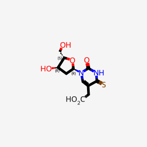 O=C(O)Cc1cn([C@H]2C[C@@H](O)[C@H](CO)O2)c(=O)[nH]c1=S